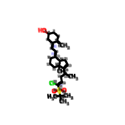 C=C1CCC(O)C/C1=C/C=C1\CCCC2(C)C(C(C)C/C=C(\Cl)S(=O)(=O)C(C)(C)C)=CCC12